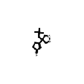 CC(C)(C)CC1(C2=CC(=S)CC2)CSSC1